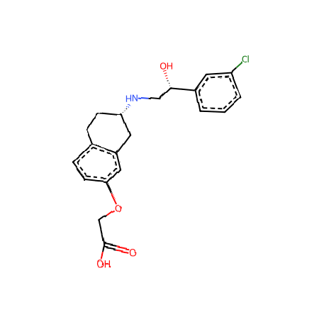 O=C(O)COc1ccc2c(c1)C[C@@H](NC[C@H](O)c1cccc(Cl)c1)CC2